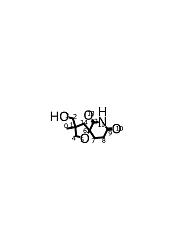 CC1(CO)COC2(CCC(=O)NC2=O)C1